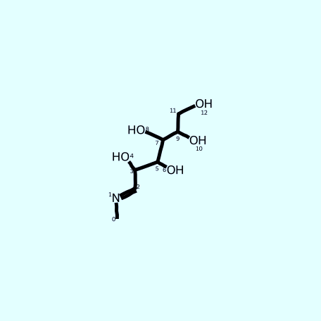 CN=CC(O)C(O)C(O)C(O)CO